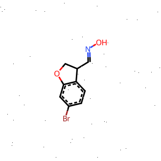 ON=CC1COc2cc(Br)ccc21